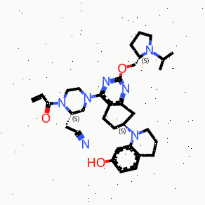 C=CC(=O)N1CCN(c2nc(OC[C@@H]3CCCN3C(C)C)nc3c2CC[C@H](N2CCCc4ccc(O)cc42)C3)C[C@@H]1CC#N